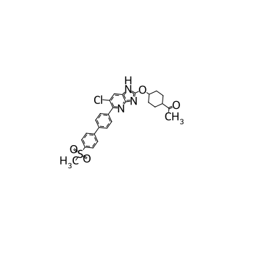 CC(=O)C1CCC(Oc2nc3nc(-c4ccc(-c5ccc(S(C)(=O)=O)cc5)cc4)c(Cl)cc3[nH]2)CC1